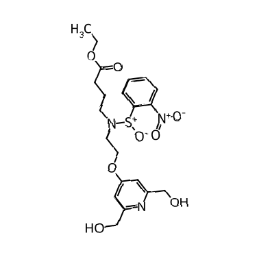 CCOC(=O)CCCN(CCOc1cc(CO)nc(CO)c1)[S+]([O-])c1ccccc1[N+](=O)[O-]